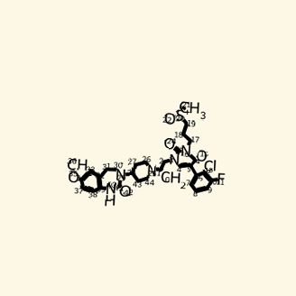 C=C(Cn1cc(-c2cccc(F)c2Cl)c(=O)n(CCC[S+](C)[O-])c1=O)N1CCC(N2CCc3cc(OC)ccc3NC2=O)CC1